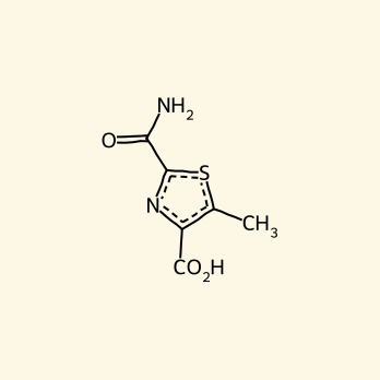 Cc1sc(C(N)=O)nc1C(=O)O